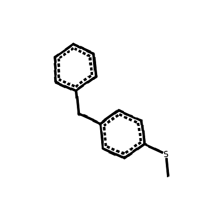 CSc1ccc(Cc2ccccc2)cc1